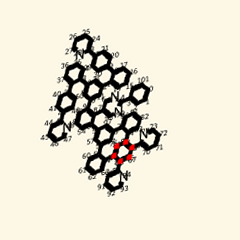 c1ccc(-c2ncc(-c3c(-c4cc(-c5ccccc5-c5ccc(-c6ccccn6)cc5)cc(-c5ccccc5-c5ccc(-c6ccccn6)cc5)c4)cccc3-c3cc(-c4ccccc4-c4ccc(-c5ccccn5)cc4)cc(-c4ccccc4-c4ccc(-c5ccccn5)cc4)c3)cn2)cc1